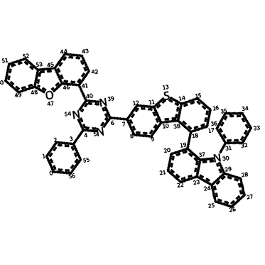 c1ccc(-c2nc(-c3ccc4c(c3)sc3cccc(-c5cccc6c7ccccc7n(-c7ccccc7)c56)c34)nc(-c3cccc4c3oc3ccccc34)n2)cc1